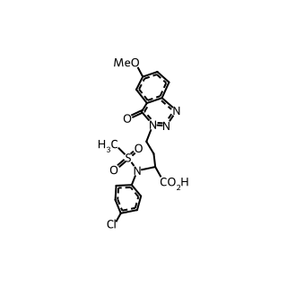 COc1ccc2nnn(CCC(C(=O)O)N(c3ccc(Cl)cc3)S(C)(=O)=O)c(=O)c2c1